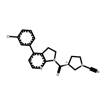 N#CN1CC[C@H](C(=O)N2CCc3c(-c4cccc(Cl)c4)ccnc32)C1